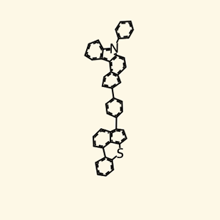 c1ccc(-n2c3ccccc3c3c4ccc(-c5ccc(-c6ccc7c8c(cccc68)-c6ccccc6S7)cc5)cc4ccc32)cc1